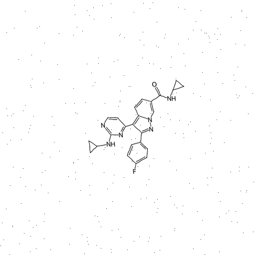 O=C(NC1CC1)c1ccc2c(-c3ccnc(NC4CC4)n3)c(-c3ccc(F)cc3)nn2c1